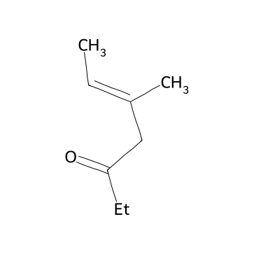 CC=C(C)CC(=O)CC